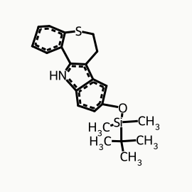 CC(C)(C)[Si](C)(C)Oc1ccc2[nH]c3c(c2c1)CCSc1ccccc1-3